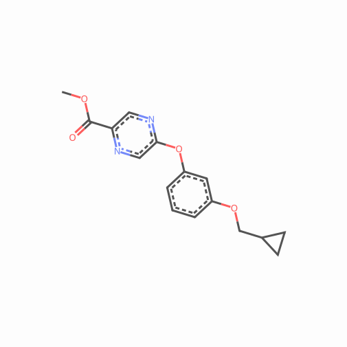 COC(=O)c1cnc(Oc2cccc(OCC3CC3)c2)cn1